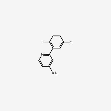 Bc1ccnc(-c2cc(Cl)ccc2F)c1